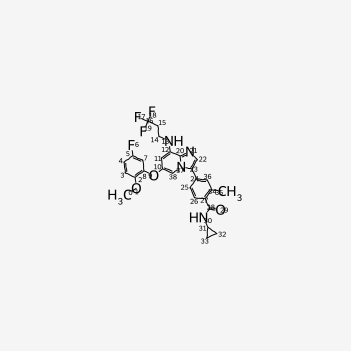 COc1ccc(F)cc1Oc1cc(NCCC(F)(F)F)c2ncc(-c3ccc(C(=O)NC4CC4)c(C)c3)n2c1